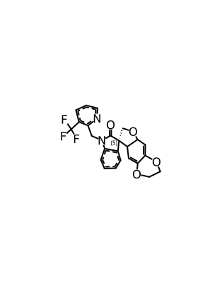 O=C1N(Cc2ncccc2C(F)(F)F)c2ccccc2[C@@]12COC1C=C3OCCOC3=CC12